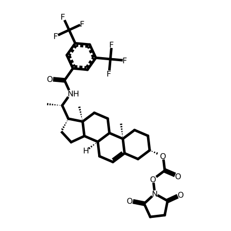 C[C@H](NC(=O)c1cc(C(F)(F)F)cc(C(F)(F)F)c1)[C@H]1CCC2[C@@H]3CC=C4C[C@@H](OC(=O)ON5C(=O)CCC5=O)CC[C@]4(C)C3CC[C@@]21C